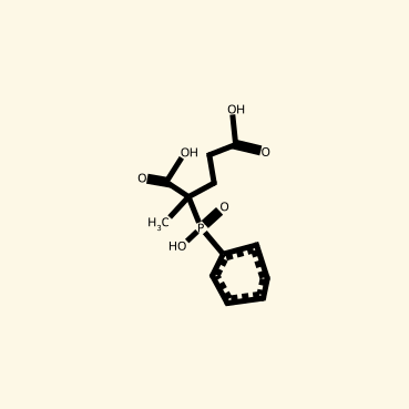 CC(CCC(=O)O)(C(=O)O)P(=O)(O)c1ccccc1